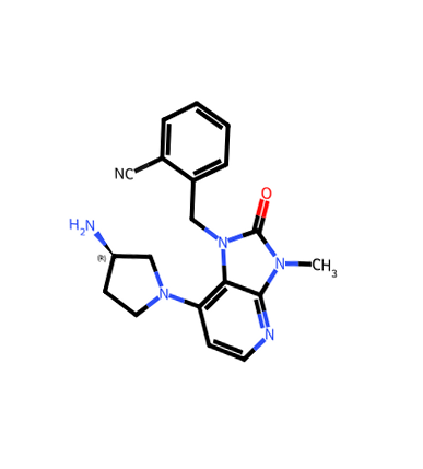 Cn1c(=O)n(Cc2ccccc2C#N)c2c(N3CC[C@@H](N)C3)ccnc21